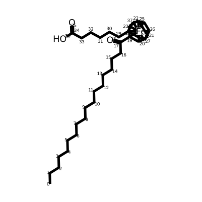 CCCCCCCCCCCCCCCCCC(=O)[C]12[CH]3[CH]4[CH]5[CH]1[Fe]45321678[CH]2[CH]1[CH]6[C]7(CCCCCC(=O)O)[CH]28